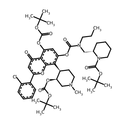 CCCN(C[C@@H]1CCCCN1C(=O)OC(C)(C)C)C(=O)Oc1cc(OC(=O)OC(C)(C)C)c2c(=O)cc(-c3ccccc3Cl)oc2c1[C@H]1CCN(C)C[C@H]1OC(=O)OC(C)(C)C